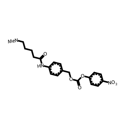 CNCCCCC(=O)Nc1ccc(COC(=O)Oc2ccc([N+](=O)[O-])cc2)cc1